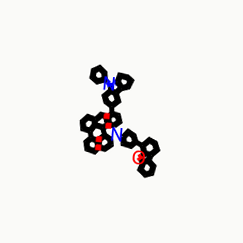 c1ccc(-c2cccc3cccc(-c4ccccc4N(c4ccc(-c5ccc6c(c5)c5ccccc5n6-c5ccccc5)cc4)c4ccc(-c5cccc6c5oc5ccccc56)cc4)c23)cc1